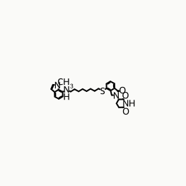 Cn1ccc2cccc(NCCCCCCCCSc3cccc4c3CN(C3CCC(=O)NC3=O)C4=O)c21